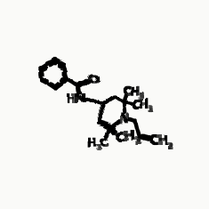 C=CCN1C(C)(C)CC(NC(=O)c2ccccc2)CC1(C)C